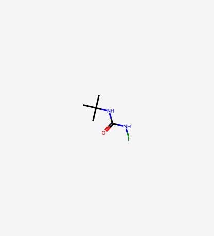 CC(C)(C)NC(=O)NF